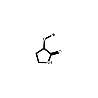 [N]OC1CCNC1=O